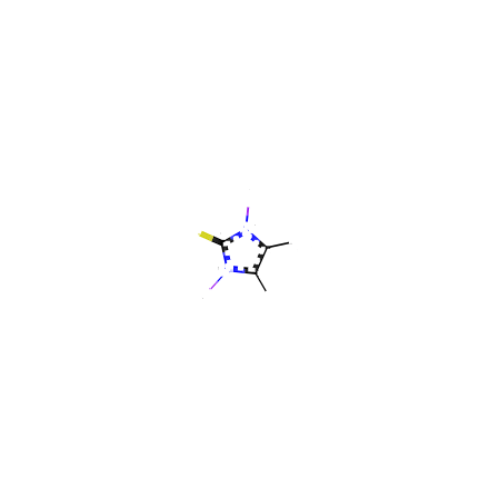 Cc1c(C)n(I)c(=S)n1I